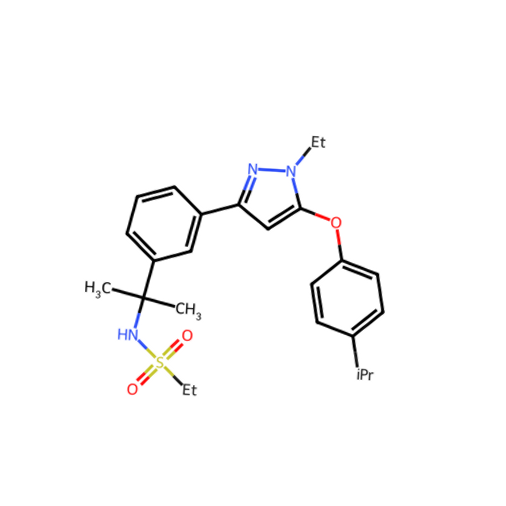 CCn1nc(-c2cccc(C(C)(C)NS(=O)(=O)CC)c2)cc1Oc1ccc(C(C)C)cc1